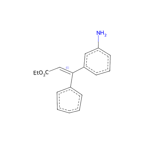 CCOC(=O)/C=C(\c1ccccc1)c1cccc(N)c1